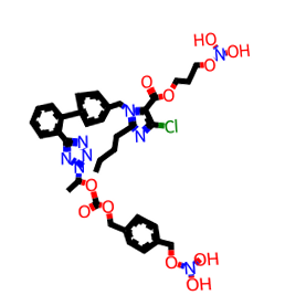 CCCCc1nc(Cl)c(C(=O)OCCCON(O)O)n1Cc1ccc(-c2ccccc2-c2nnn(C(C)OC(=O)OCc3ccc(CON(O)O)cc3)n2)cc1